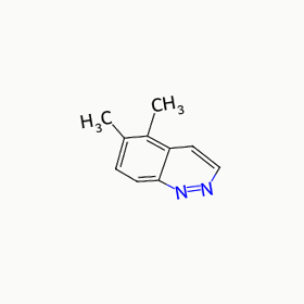 Cc1ccc2nnccc2c1C